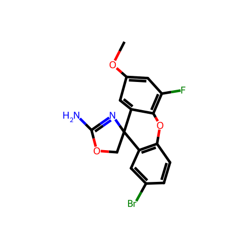 COc1cc(F)c2c(c1)C1(COC(N)=N1)c1cc(Br)ccc1O2